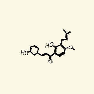 COc1ccc(C(=O)C=CC2C=CC=C(O)C2)c(O)c1CC=C(C)C